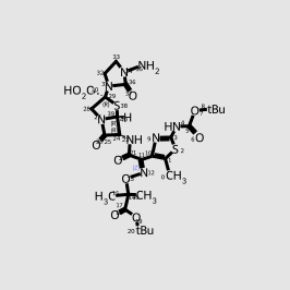 Cc1sc(NC(=O)OC(C)(C)C)nc1/C(=N/OC(C)(C)C(=O)OC(C)(C)C)C(=O)N[C@@H]1C(=O)N2C[C@@](C(=O)O)(N3CCN(N)C3=O)S[C@H]12